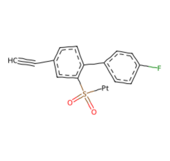 C#Cc1ccc(-c2ccc(F)cc2)c([S](=O)(=O)[Pt])c1